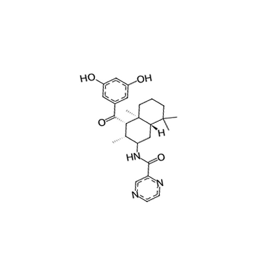 C[C@H]1C(NC(=O)c2cnccn2)C[C@H]2C(C)(C)CCC[C@]2(C)[C@H]1C(=O)c1cc(O)cc(O)c1